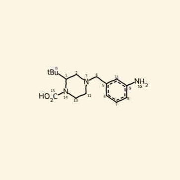 CC(C)(C)C1CN(Cc2cccc(N)c2)CCN1C(=O)O